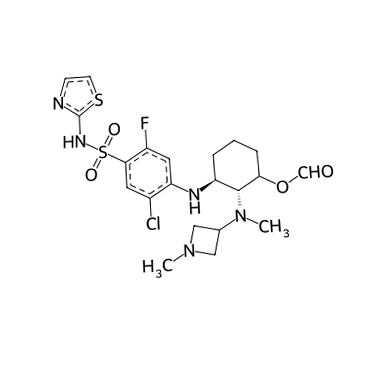 CN1CC(N(C)[C@H]2C(OC=O)CCC[C@@H]2Nc2cc(F)c(S(=O)(=O)Nc3nccs3)cc2Cl)C1